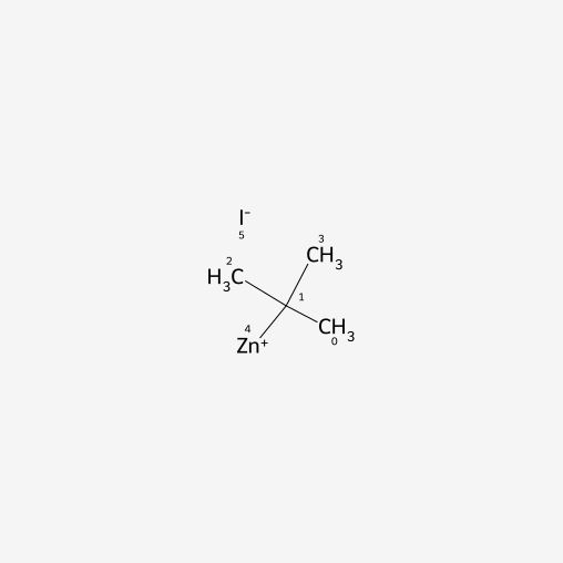 C[C](C)(C)[Zn+].[I-]